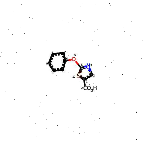 O=C(O)c1cnc(Oc2ccccc2)s1